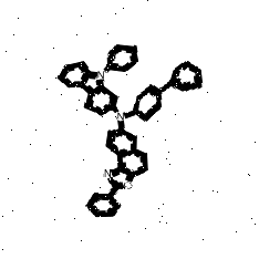 C1=CC(N(c2ccc3c(ccc4oc(-c5ccccc5)nc43)c2)c2ccc3c4ccccc4n(-c4ccccc4)c3c2)CC=C1c1ccccc1